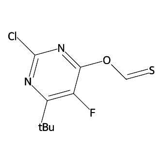 CC(C)(C)c1nc(Cl)nc(OC=S)c1F